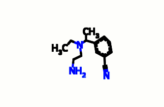 CCN(CCN)C(C)c1cccc(C#N)c1